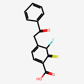 O=C(O)C1=CC=C(CC(=O)c2ccccc2)C(F)C1=S